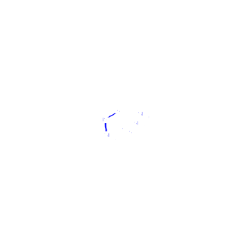 N.N.N.N.NNN